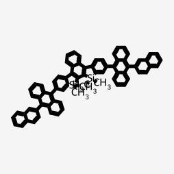 C[Si]1(C)c2cc(-c3c4ccccc4c(-c4ccc5ccccc5c4)c4ccccc34)ccc2-c2c1c1c(c3ccccc23)-c2ccc(-c3c4ccccc4c(-c4ccc5ccccc5c4)c4ccccc34)cc2[Si]1(C)C